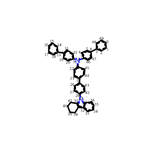 c1ccc(-c2ccc(N(c3ccc(-c4ccccc4)cc3)c3ccc(-c4ccc(-n5c6c(c7ccccc75)CCCC6)cc4)cc3)cc2)cc1